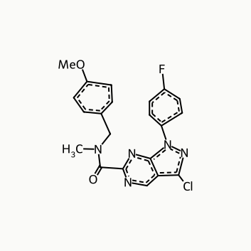 COc1ccc(CN(C)C(=O)c2ncc3c(Cl)nn(-c4ccc(F)cc4)c3n2)cc1